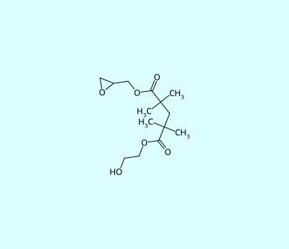 CC(C)(CC(C)(C)C(=O)OCC1CO1)C(=O)OCCO